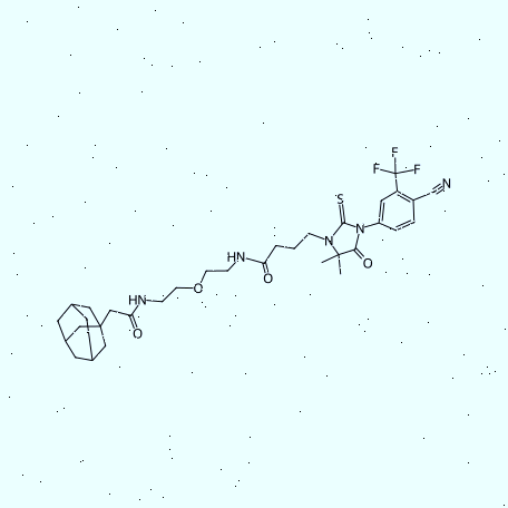 CC1(C)C(=O)N(c2ccc(C#N)c(C(F)(F)F)c2)C(=S)N1CCCC(=O)NCCOCCNC(=O)CC12CC3CC(CC(C3)C1)C2